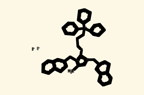 Cc1cn(Cc2ccc3ccccc3c2)c(SCCC[P+](c2ccccc2)(c2ccccc2)c2ccccc2)[n+]1Cc1ccc2ccccc2c1.[I-].[I-]